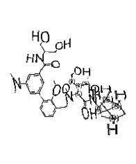 COc1c(CN2O[C@@H](CO)[C@@H]([C@H](C)O)[C@H]2C(=O)N[C@H]2C[C@H]3C[C@@H]([C@@H]2C)C3(C)C)cccc1-c1cc(C(=O)NC(CO)CO)cc(N(C)C)c1